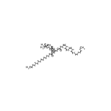 CC/C=C\C/C=C\C/C=C\C/C=C\C/C=C\C/C=C\CCC(=O)OCC(COC(=O)CCCCCCCCCCCCCCC)OP(=O)(O)OCC[N+](C)(C)C